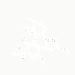 Cc1ccc(-n2nc(C(F)(F)F)cc2-c2cc(F)c(S(C)(=O)=O)cc2F)cc1Cl